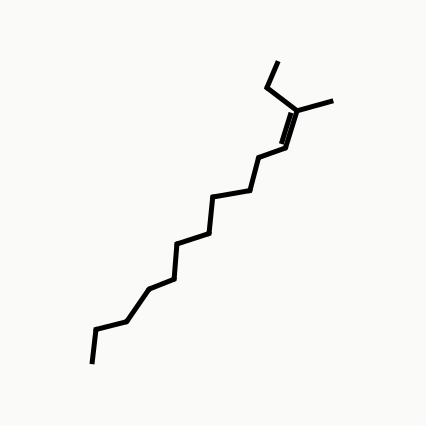 CCCCCCCCCCC=C(C)CC